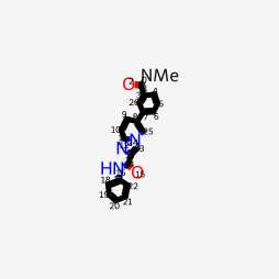 CNC(=O)c1cccc(-c2ccc3nc(C(=O)Nc4ccccc4)cn3c2)c1